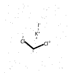 ClCCl.[I-].[K+]